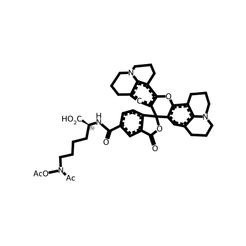 CC(=O)ON(CCCC[C@H](NC(=O)c1ccc2c(c1)C(=O)OC21c2cc3c4c(c2Oc2c1cc1c5c2CCCN5CCC1)CCCN4CCC3)C(=O)O)C(C)=O